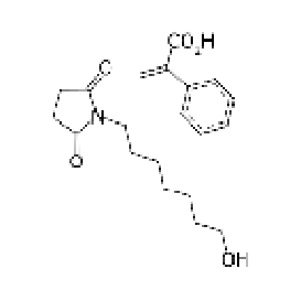 C=C(C(=O)O)c1ccccc1.O=C1CCC(=O)N1CCCCCCCO